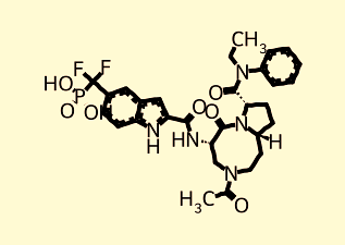 CCN(C(=O)[C@@H]1CC[C@@H]2CCN(C(C)=O)C[C@H](NC(=O)c3cc4cc(C(F)(F)P(=O)(O)O)ccc4[nH]3)C(=O)N21)c1ccccc1